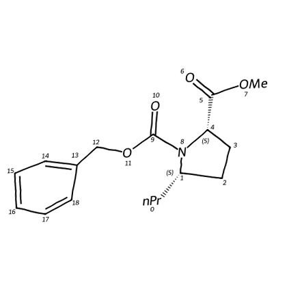 CCC[C@H]1CC[C@@H](C(=O)OC)N1C(=O)OCc1ccccc1